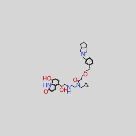 O=C(CCOCCc1cccc(CN2CC3CCCC3C2)c1)N(CCNCC(O)c1ccc(O)c2[nH]c(=O)ccc12)CC1CC1